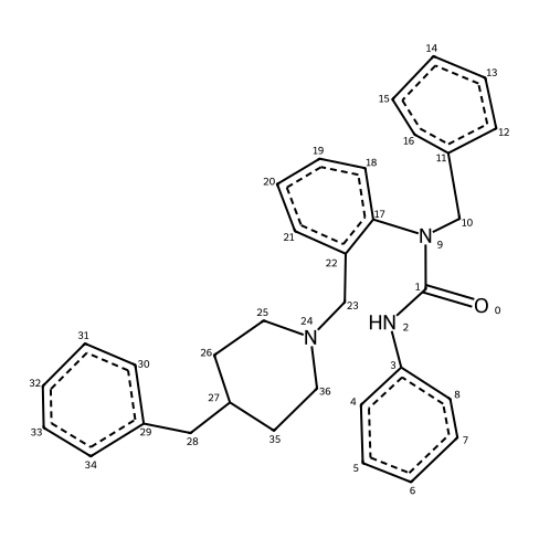 O=C(Nc1ccccc1)N(Cc1ccccc1)c1ccccc1CN1CCC(Cc2ccccc2)CC1